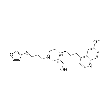 COc1ccc2nccc(CCC[C@@H]3CCN(CCCSc4ccoc4)C[C@@H]3CO)c2c1